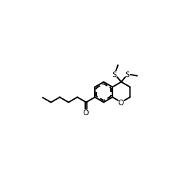 CCCCCC(=O)c1ccc2c(c1)OCCC2(SC)SC